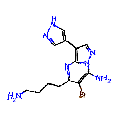 NCCCCc1nc2c(-c3cn[nH]c3)cnn2c(N)c1Br